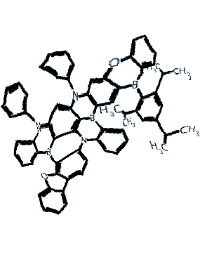 CC(C)c1cc(C(C)C)c(B2c3ccccc3Oc3cc4c(cc32)B2c3ccccc3N3c5ccc6c(oc7ccccc76)c5B5c6ccccc6N(c6ccccc6)c6cc(c2c3c65)N4c2ccccc2)c(C(C)C)c1